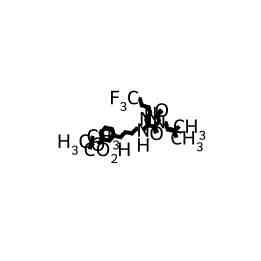 CC(C)=CCn1c(=O)c(NCCCCc2cccc(OC(C)(C)C(=O)O)c2)nn(CCCC(F)(F)F)c1=O